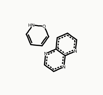 C1=CNOC=C1.c1cnc2nccnc2c1